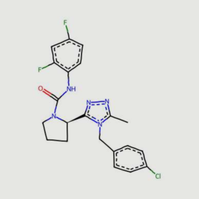 Cc1nnc([C@H]2CCCN2C(=O)Nc2ccc(F)cc2F)n1Cc1ccc(Cl)cc1